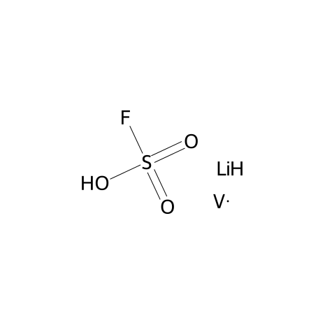 O=S(=O)(O)F.[LiH].[V]